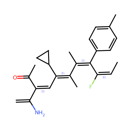 C=C(N)/C(=C/C(=C(C)/C(C)=C(\C(F)=C/C)c1ccc(C)cc1)C1CC1)C(C)=O